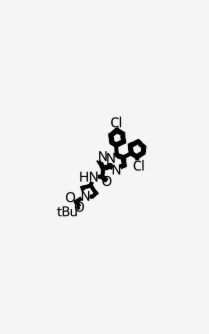 CC(C)(C)OC(=O)N1CCC(NC(=O)c2cnn3c(-c4ccc(Cl)cc4)c(-c4ccccc4Cl)cnc23)C1